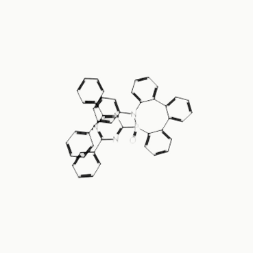 O=P1(c2nc(-c3ccccc3)nc(-c3ccccc3)n2)c2ccccc2-c2ccccc2-c2ccccc2N1c1cccc(-c2ccccc2)c1